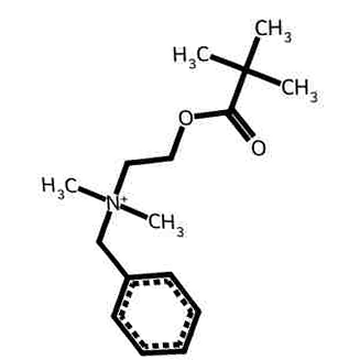 CC(C)(C)C(=O)OCC[N+](C)(C)Cc1ccccc1